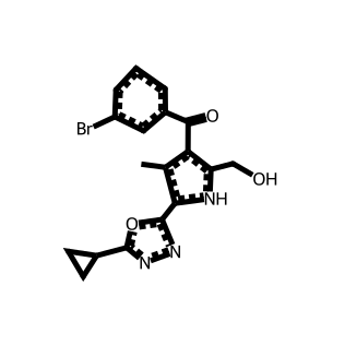 Cc1c(-c2nnc(C3CC3)o2)[nH]c(CO)c1C(=O)c1cccc(Br)c1